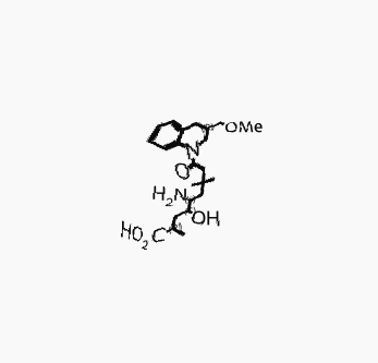 COC[C@@H]1Cc2ccccc2N(C(=O)CC(C)(C)C[C@H](N)[C@@H](O)C[C@@H](C)C(=O)O)C1